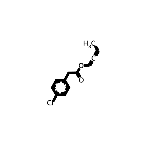 CC=C=COC(=O)Cc1ccc(Cl)cc1